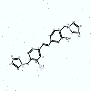 Oc1cc(C=Cc2ccc(Cn3ccnc3)c(O)c2)ccc1Cn1ccnc1